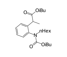 CCCCCCN(C(=O)OCC(C)C)c1ccccc1C(C)C(=O)OCC(C)C